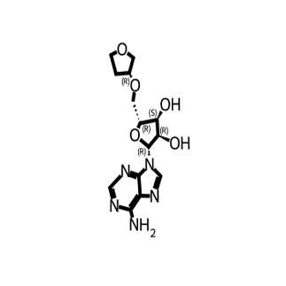 Nc1ncnc2c1ncn2[C@@H]1O[C@H](CO[C@@H]2CCOC2)[C@@H](O)[C@H]1O